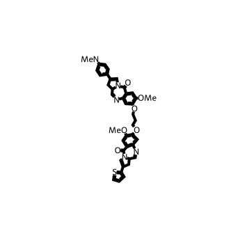 CNc1ccc(C2=CN3C(=O)c4cc(OC)c(OCCCOc5cc6c(cc5OC)C(=O)N5C=C(c7cccs7)CC5C=N6)cc4N=CC3C2)cc1